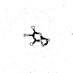 CC(C)c1c(Cl)nc2ncnn2c1Cl